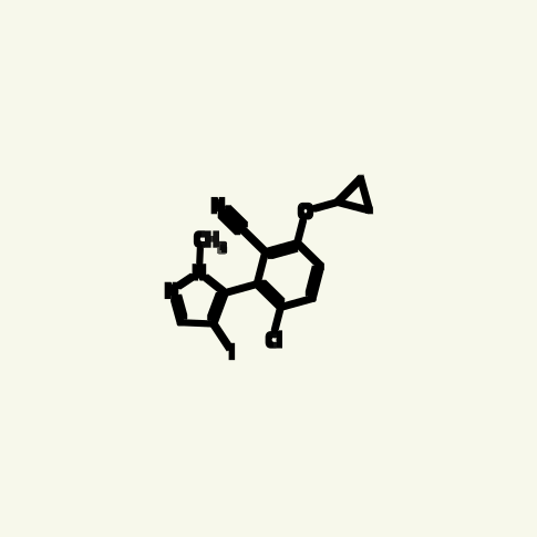 Cn1ncc(I)c1-c1c(Cl)ccc(OC2CC2)c1C#N